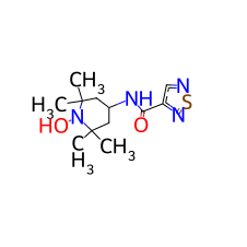 CC1(C)CC(NC(=O)c2cnsn2)CC(C)(C)N1O